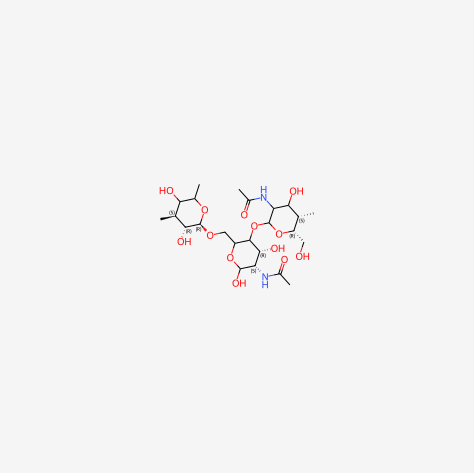 CC(=O)NC1C(OC2C(CO[C@@H]3OC(C)C(O)[C@H](C)[C@H]3O)OC(O)[C@@H](NC(C)=O)[C@H]2O)O[C@@H](CO)[C@@H](C)C1O